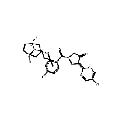 CCCCN1[C@@H]2CC[C@H]1C[C@@H](Oc1cc(F)ccc1C(=O)N1CC(=N)/C(=C3/N=CC(Cl)=CN3)C1)C2